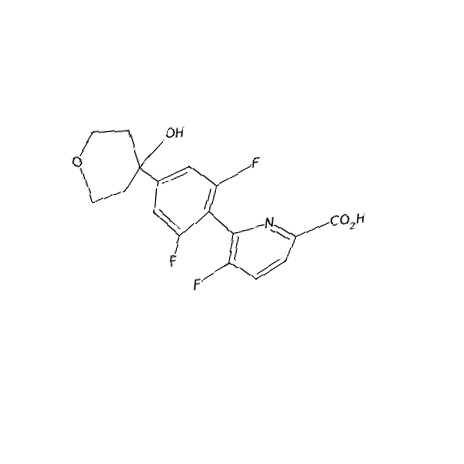 O=C(O)c1ccc(F)c(-c2c(F)cc(C3(O)CCOCC3)cc2F)n1